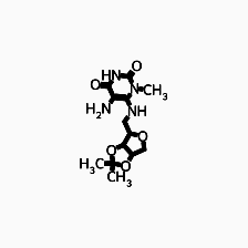 Cn1c(NCC2OCC3OC(C)(C)OC23)c(N)c(=O)[nH]c1=O